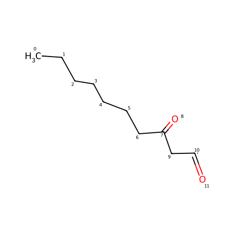 CCCCCCCC(=O)C[C]=O